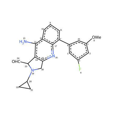 COc1cc(F)cc(-c2cccc3c(N)c4c(nc23)CN(C2CC2)C4C=O)c1